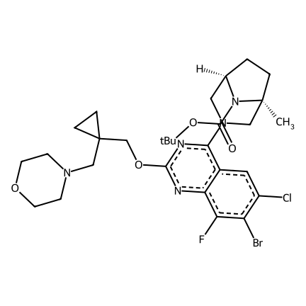 CC(C)(C)OC(=O)N1[C@@H]2CC[C@@]1(C)CN(c1nc(OCC3(CN4CCOCC4)CC3)nc3c(F)c(Br)c(Cl)cc13)C2